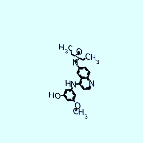 CCS(=O)(CC)=Nc1ccc2nccc(Nc3cc(O)cc(OC)c3)c2c1